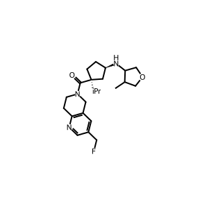 CC1COCC1N[C@@H]1CC[C@@](C(=O)N2CCc3ncc(CF)cc3C2)(C(C)C)C1